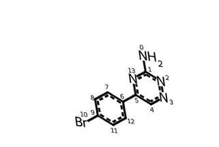 Nc1nncc(-c2ccc(Br)cc2)n1